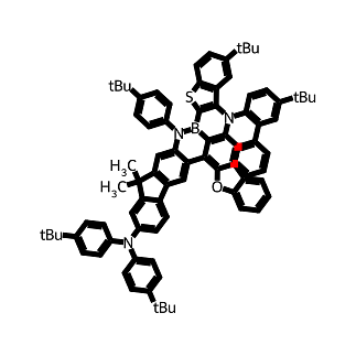 CC(C)(C)c1ccc(N2B3c4sc5ccc(C(C)(C)C)cc5c4N(c4ccc(C(C)(C)C)cc4-c4ccccc4)c4cc5c(oc6ccccc65)c(c43)-c3cc4c(cc32)C(C)(C)c2cc(N(c3ccc(C(C)(C)C)cc3)c3ccc(C(C)(C)C)cc3)ccc2-4)cc1